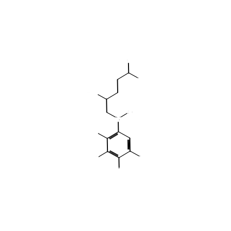 CCCC(CC)CCC(C)CN(CC)c1cc(F)c(F)c(F)c1F